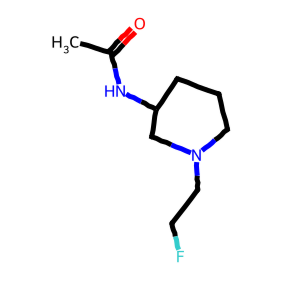 CC(=O)NC1CCCN(CCF)C1